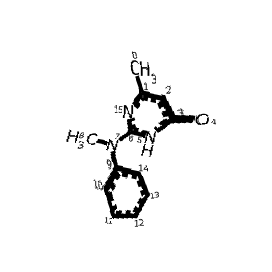 Cc1cc(=O)[nH]c(N(C)c2ccccc2)n1